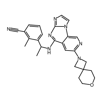 Cc1c(C#N)cccc1C(C)Nc1nc2nccn2c2cnc(N3CC4(CCOCC4)C3)cc12